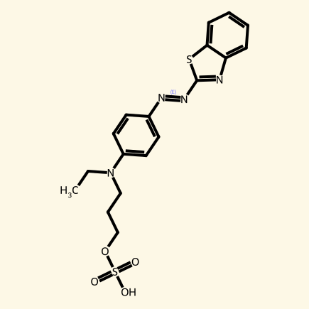 CCN(CCCOS(=O)(=O)O)c1ccc(/N=N/c2nc3ccccc3s2)cc1